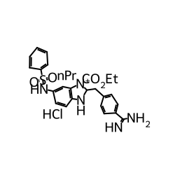 CCC[N+]1(C(=O)OCC)c2cc(NS(=O)(=O)c3ccccc3)ccc2NC1Cc1ccc(C(=N)N)cc1.Cl